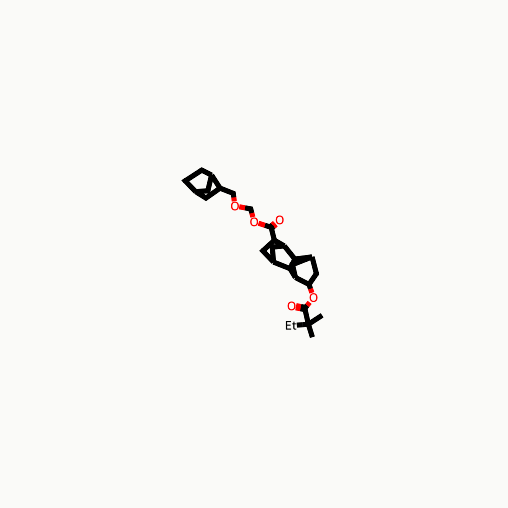 CCC(C)(C)C(=O)OC1CC2CC1C1C3CC(C(=O)OCOCC4CC5CCC4C5)C(C3)C21